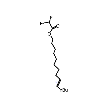 CCCC/C=C/CCCCCCCCOC(=O)C(F)F